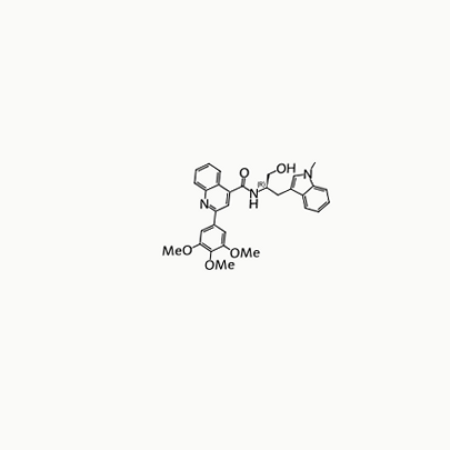 COc1cc(-c2cc(C(=O)N[C@@H](CO)Cc3cn(C)c4ccccc34)c3ccccc3n2)cc(OC)c1OC